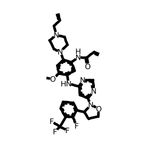 C=CCN1CCN(c2cc(OC)c(Nc3cc(N4OCCC4c4cccc(C(F)(F)F)c4F)ncn3)cc2NC(=O)C=C)CC1